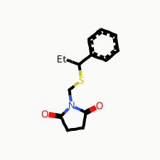 CCC(SCN1C(=O)CCC1=O)c1ccccc1